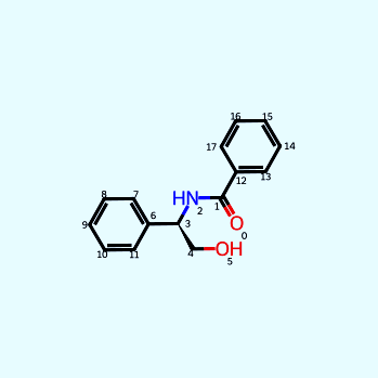 O=C(N[C@@H](CO)c1ccccc1)c1ccccc1